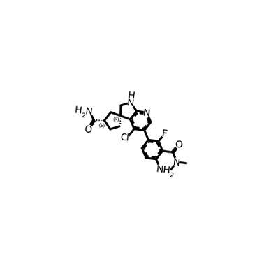 CN(C)C(=O)c1c(N)ccc(-c2cnc3c(c2Cl)[C@]2(CC[C@H](C(N)=O)C2)CN3)c1F